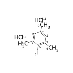 Cc1cc(C)c(I)c(C)c1.Cl.Cl